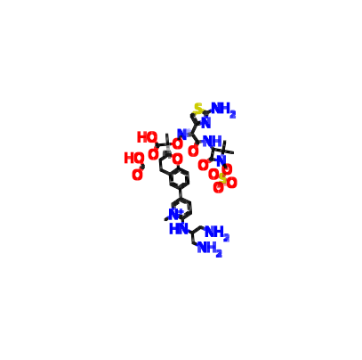 C[n+]1cc(-c2ccc3c(c2)CC[C@H](C(C)(O/N=C(\C(=O)NC2C(=O)N(OS(=O)(=O)[O-])C2(C)C)c2csc(N)n2)C(=O)O)O3)ccc1NC(CN)CN.O=CO